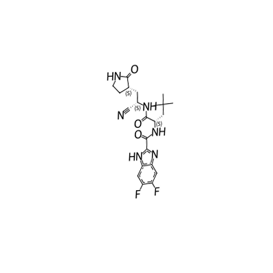 CC(C)(C)C[C@H](NC(=O)c1nc2cc(F)c(F)cc2[nH]1)C(=O)N[C@H](C#N)C[C@@H]1CCNC1=O